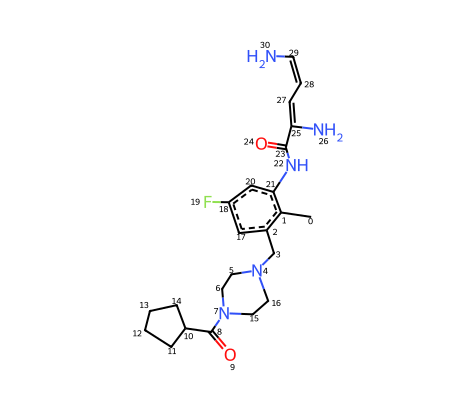 Cc1c(CN2CCN(C(=O)C3CCCC3)CC2)cc(F)cc1NC(=O)/C(N)=C/C=C\N